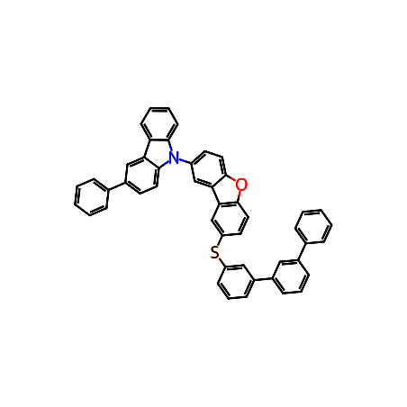 c1ccc(-c2cccc(-c3cccc(Sc4ccc5oc6ccc(-n7c8ccccc8c8cc(-c9ccccc9)ccc87)cc6c5c4)c3)c2)cc1